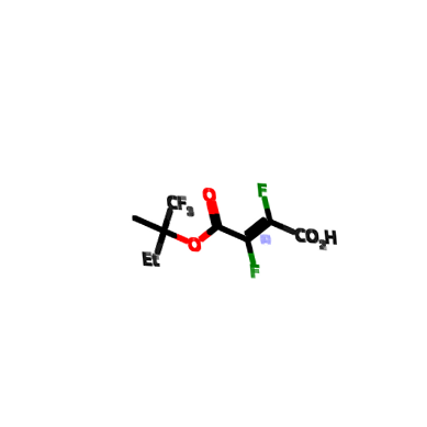 CCC(C)(OC(=O)/C(F)=C(\F)C(=O)O)C(F)(F)F